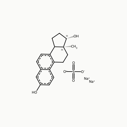 C[C@]12CCc3c(ccc4cc(O)ccc34)C1CC[C@@H]2O.O=S(=O)([O-])[O-].[Na+].[Na+]